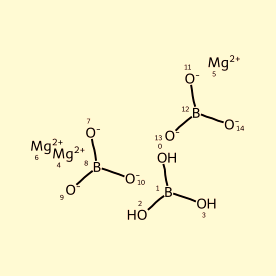 OB(O)O.[Mg+2].[Mg+2].[Mg+2].[O-]B([O-])[O-].[O-]B([O-])[O-]